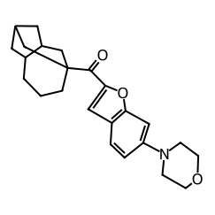 O=C(c1cc2ccc(N3CCOCC3)cc2o1)C12CCCC3CC(CC3C1)C2